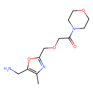 Cc1nc(COCC(=O)N2CCOCC2)oc1CN